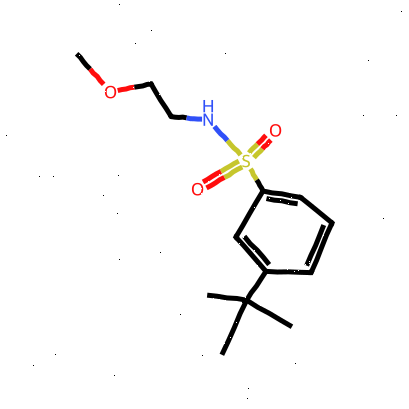 COCCNS(=O)(=O)c1cccc(C(C)(C)C)c1